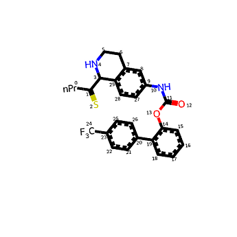 CCCC(=S)C1NCCc2cc(NC(=O)Oc3ccccc3-c3ccc(C(F)(F)F)cc3)ccc21